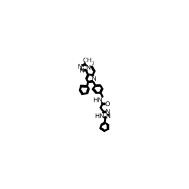 Cc1nnc2c3cc(-c4ccccc4)c(-c4ccc(CNC(=O)Cc5nnc(-c6ccccc6)[nH]5)cc4)nc3ccn12